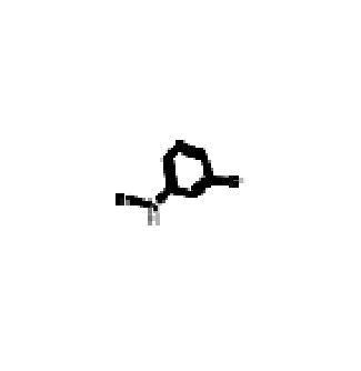 BrNc1cccc(Br)c1